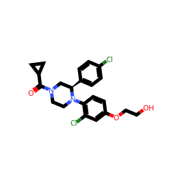 O=C(C1CC1)N1CCN(c2ccc(OCCO)cc2Cl)[C@H](c2ccc(Cl)cc2)C1